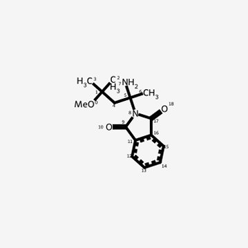 COC(C)(C)CC(C)(N)N1C(=O)c2ccccc2C1=O